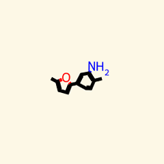 Cc1ccc(-c2ccc(C)c(N)c2)o1